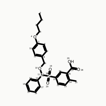 CCCCOc1ccc(CON(c2ccccc2)S(=O)(=O)c2ccc(C)c(C(=O)O)c2)cc1